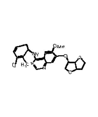 COc1cc2c(NC3CC=CC(Cl)=C3C)ncnc2cc1O[C@@H]1COC2CCOC21